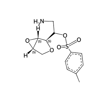 Cc1ccc(S(=O)(=O)OC(CN)[C@H]2OC[C@@H]3O[C@@H]32)cc1